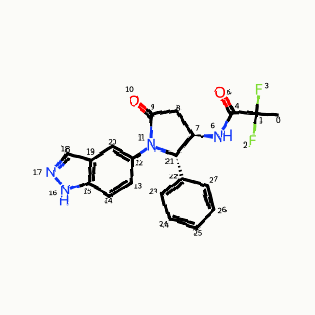 CC(F)(F)C(=O)N[C@@H]1CC(=O)N(c2ccc3[nH]ncc3c2)[C@H]1c1ccccc1